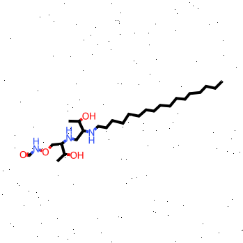 CCCCCCCCCCCCCCCCCNC(CNC(CONC=O)C(C)O)C(C)O